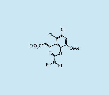 CCOC(=O)C=Cc1c(Cl)c(Cl)cc(OC)c1OC(=O)N(CC)CC